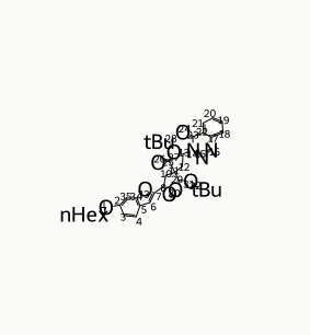 CCCCCCOc1ccc2cc(C(=O)CC(CCn3nnc4ccccc4c3=O)(C(=O)OC(C)(C)C)C(=O)OC(C)(C)C)oc2c1